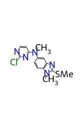 CSc1nc2cc(N(C)c3ccnc(Cl)n3)ccc2n1C